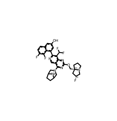 Oc1cc(-c2ncc3c(N4CC5CCC(C4)N5)nc(OC[C@@]45CCCN4C[C@H](F)C5)nc3c2C(F)F)c2c(F)c(F)ccc2c1